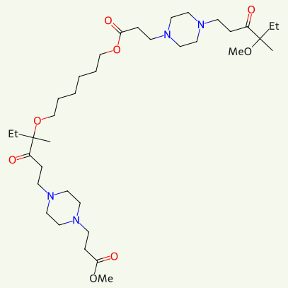 CCC(C)(OC)C(=O)CCN1CCN(CCC(=O)OCCCCCCOC(C)(CC)C(=O)CCN2CCN(CCC(=O)OC)CC2)CC1